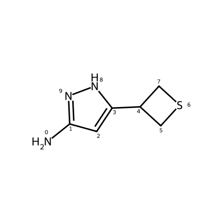 Nc1cc(C2CSC2)[nH]n1